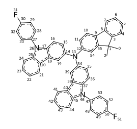 CC1(C)c2ccccc2-c2ccc(N(c3ccc4c(c3)c3ccccc3n4-c3ccc(F)cc3)c3ccc4c(c3)c3ccccc3n4-c3ccc(F)cc3)cc21